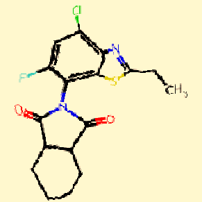 CCc1nc2c(Cl)cc(F)c(N3C(=O)C4CCCCC4C3=O)c2s1